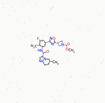 COC(=O)N1CC(c2nc(-c3cc(F)c(C)c(NC(=O)c4cnc5ccc(C)cn45)c3)no2)C1